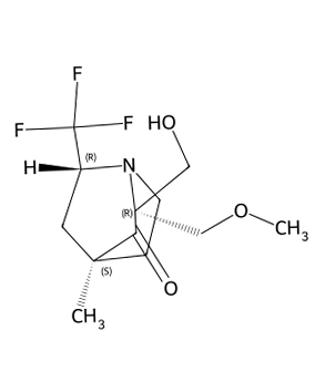 COC[C@]1(CO)C(=O)[C@@]2(C)CCN1[C@@H](C(F)(F)F)C2